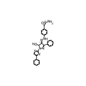 N[C@@H]1OC1c1ccc(N/N=C2\C(c3ccccc3)=NN(c3nc(-c4ccccc4)cs3)C2O)cc1